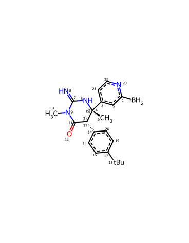 Bc1cc([C@@]2(C)NC(=N)N(C)C(=O)[C@H]2c2ccc(C(C)(C)C)cc2)ccn1